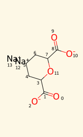 O=C([O-])C1CCCC(C(=O)[O-])O1.[Na+].[Na+]